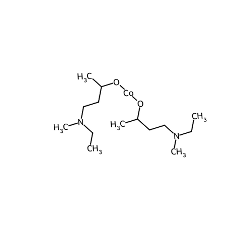 CCN(C)CCC(C)[O][Co][O]C(C)CCN(C)CC